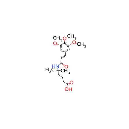 COc1cc(C=CC(=O)NC(C)(C)CCCC(=O)O)cc(OC)c1OC